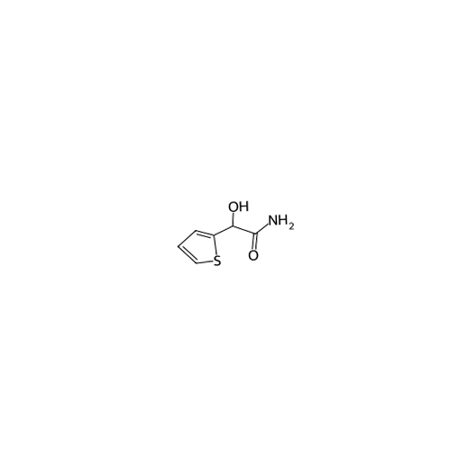 NC(=O)C(O)c1cccs1